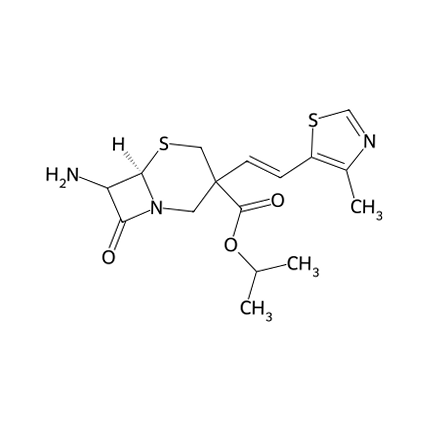 Cc1ncsc1C=CC1(C(=O)OC(C)C)CS[C@@H]2C(N)C(=O)N2C1